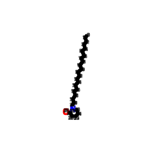 CCCCCCCCCCCCCCCCCCCCCCN1CCCCC1=O